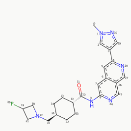 Cn1cc(-c2cc3cc(NC(=O)[C@H]4CC[C@H](CN5CC(F)C5)CC4)ncc3cn2)cn1